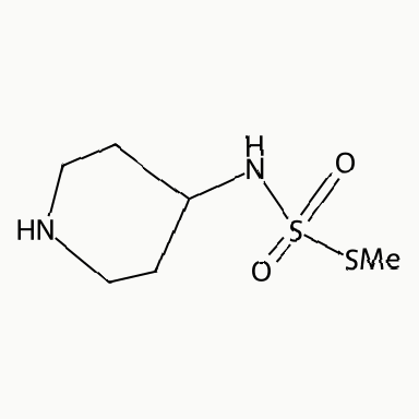 CSS(=O)(=O)NC1CCNCC1